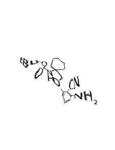 CC(C)(C)OC(=O)NC1(COc2cccc(N)c2C#N)CCCCC1